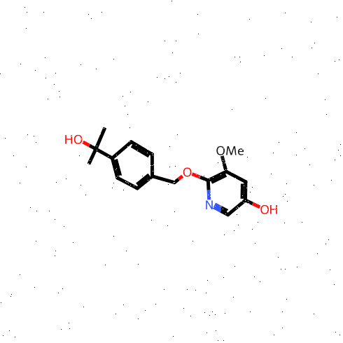 COc1cc(O)cnc1OCc1ccc(C(C)(C)O)cc1